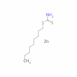 CCCCCCCCCSC(N)=S.[Zn]